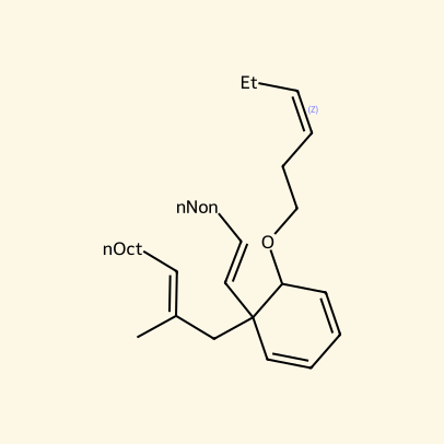 CC/C=C\CCOC1C=CC=CC1(C=CCCCCCCCCC)CC(C)=CCCCCCCCC